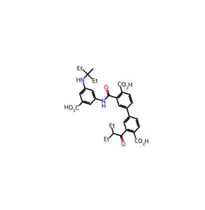 CCC(CC)C(=O)c1cc(-c2ccc(C(=O)O)c(C(=O)Nc3cc(NC(C)(CC)CC)cc(C(=O)O)c3)c2)ccc1C(=O)O